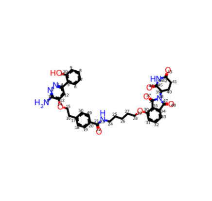 Nc1nnc(-c2ccccc2O)cc1OCCc1ccc(C(=O)NCCCCCOc2cccc3c2C(=O)N(C2CCC(=O)NC2=O)C3=O)cc1